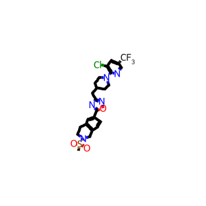 CS(=O)(=O)N1CCc2cc(-c3nc(CC4CCN(c5ncc(C(F)(F)F)cc5Cl)CC4)no3)ccc2C1